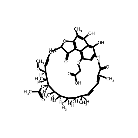 CO[C@H]1/C=C\O[C@@]2(C)Oc3c(C)c(O)c4c(O)c(cc(OCC(=O)O)c4c3C2=O)NC(=O)/C(C)=C\C=C/[C@H](C)[C@H](O)[C@@H](C)[C@@H](O)[C@@H](C)[C@H](OC(C)=O)[C@@H]1C